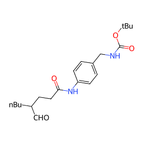 CCCCC(C=O)CCC(=O)Nc1ccc(CNC(=O)OC(C)(C)C)cc1